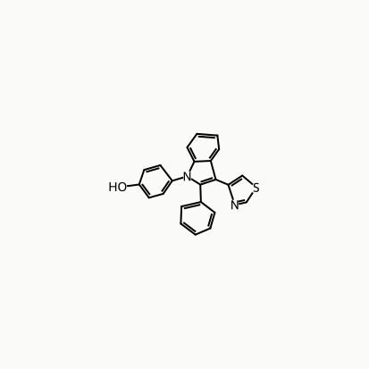 Oc1ccc(-n2c(-c3ccccc3)c(-c3cscn3)c3ccccc32)cc1